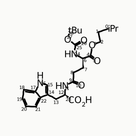 CC(C)CCOC(=O)[C@@H](CCC(=O)N[C@H](Cc1c[nH]c2ccccc12)C(=O)O)NC(=O)OC(C)(C)C